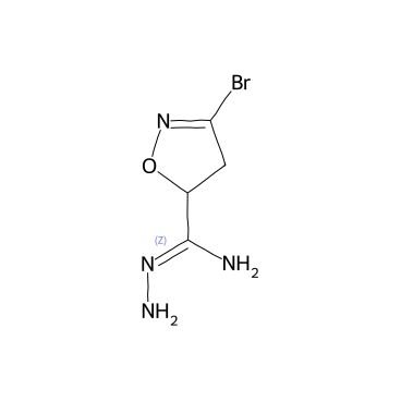 N/N=C(\N)C1CC(Br)=NO1